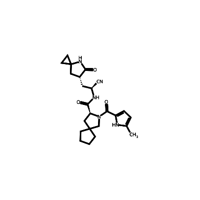 Cc1ccc(C(=O)N2CC3(CCCC3)C[C@H]2C(=O)N[C@H](C#N)C[C@@H]2CC3(CC3)NC2=O)[nH]1